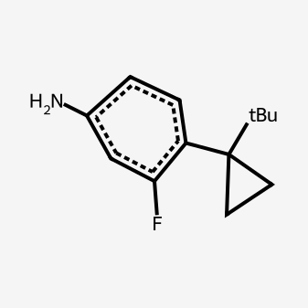 CC(C)(C)C1(c2ccc(N)cc2F)CC1